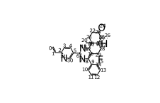 C=Cc1ccc(-c2nc(-c3ccccc3F)c3c(n2)[C@]2(C)CCC(=O)[C@H](C)[C@H]2CC3)cn1